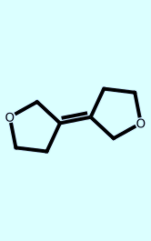 C1C/C(=C2/CCOC2)CO1